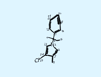 Cc1cn(C(C)(C)c2ccccc2)cc1Cl